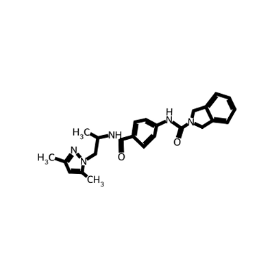 Cc1cc(C)n(CC(C)NC(=O)c2ccc(NC(=O)N3Cc4ccccc4C3)cc2)n1